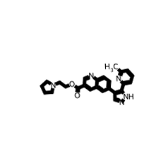 Cc1cccc(-c2[nH]ncc2-c2ccc3ncc(C(=O)OCCN4CCCC4)cc3c2)n1